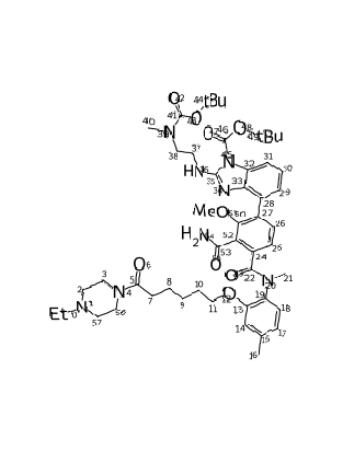 CCN1CCN(C(=O)CCCCCOc2cc(C)ccc2N(C)C(=O)c2ccc(-c3cccc4c3nc(NCCN(C)C(=O)OC(C)(C)C)n4C(=O)OC(C)(C)C)c(OC)c2C(N)=O)CC1